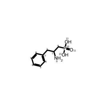 NC(Cc1ccccc1)CP(=O)(O)O